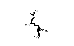 C#CC(=O)CCC(C)=CCCC(C)=CCO